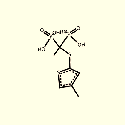 Cc1csc(SC(C)(P(=O)(O)O)P(=O)(O)O)c1